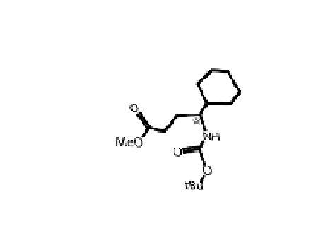 COC(=O)CC[C@H](NC(=O)OC(C)(C)C)C1CCCCC1